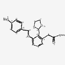 COC(=O)Cc1cccc(OCc2ccc(OC)cc2)c1C1OCCO1